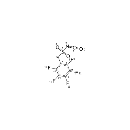 O=C=NS(=O)(=O)Cc1c(F)c(F)c(F)c(F)c1F